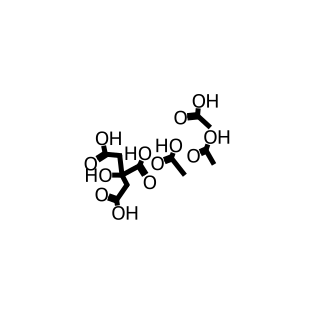 CC(=O)O.CC(=O)O.CC(=O)O.O=C(O)CC(O)(CC(=O)O)C(=O)O